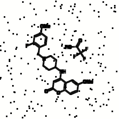 COc1ccc(CN2CCC(Nc3cc(=O)oc4ccc(OC)cc34)CC2)c(F)c1.O=C(O)C(F)(F)F